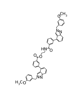 COc1cccc(Cn2cc3c(-c4cccc(C(=O)NCCOC(=O)c5cccc(-c6cccc7nn(Cc8cccc(OC)c8)cc67)c5)c4)cccc3n2)c1